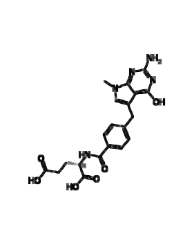 Cn1cc(Cc2ccc(C(=O)N[C@@H](CCC(=O)O)C(=O)O)cc2)c2c(O)nc(N)nc21